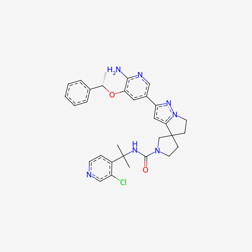 C[C@H](Oc1cc(-c2cc3n(n2)CCC32CCN(C(=O)NC(C)(C)c3ccncc3Cl)C2)cnc1N)c1ccccc1